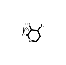 CCC1CCOCC1O.O=[N+]([O-])O